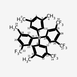 Cc1cc(C)cc([B-](c2cc(C)cc(C(F)(F)F)c2)(c2cc(C)cc(C(F)(F)F)c2)c2cc(C(F)(F)F)cc(C(F)(F)F)c2)c1